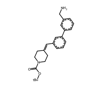 CC(C)(C)OC(=O)N1CCC(=Cc2cccc(-c3cccc(CN)c3)c2)CC1